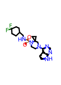 O=S(=O)(NCC1CCC(F)(F)CC1)N1CCN(c2ncnc3[nH]ccc23)CC12CC2